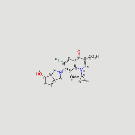 COc1c(N2CC3=CCC(O)C3C2)c(F)cc2c(=O)c(C(=O)O)cn(C3CC3)c12